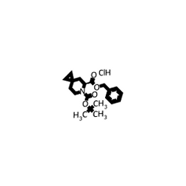 CC(C)(C)OC(=O)N1CCC2(CC2)C[C@H]1C(=O)OCc1ccccc1.Cl